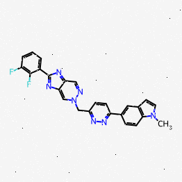 Cn1ccc2cc(-c3ccc(Cn4cc5nc(-c6cccc(F)c6F)nc-5cn4)nn3)ccc21